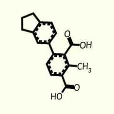 Cc1c(C(=O)O)ccc(-c2ccc3c(c2)CCC3)c1C(=O)O